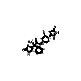 CC(C(=O)NN1CCN(C2CC(=O)NN2)C(F)C1)(c1ccccc1)C1CNC(=O)O1